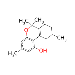 Cc1cc(O)c2c(c1)OC(C)(C)C1=C2CC(C)CC1